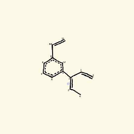 C=C/C(=C\C)c1cccc(C=C)c1